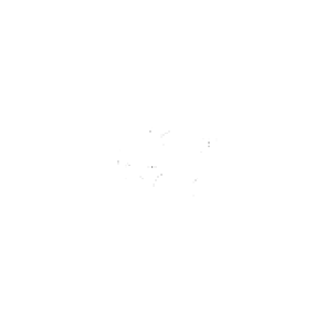 CC(C)(C)NC(=O)c1ccc(CC2CN(CC(=O)O)CCN(CC(=O)O)CCN2CC(=O)O)cc1